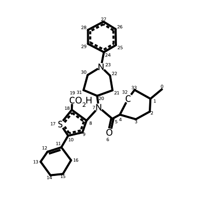 CC1CCC(C(=O)N(c2cc(C3=CCCCC3)sc2C(=O)O)C2CCN(c3ccccc3)CC2)CC1